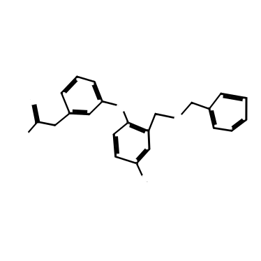 O=C(O)Cc1cccc(Oc2ccc(Br)cc2CSCc2ccccc2)c1